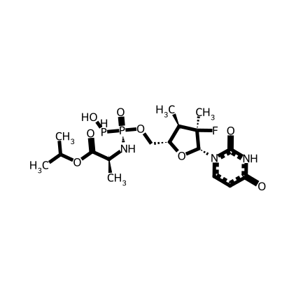 CC(C)OC(=O)[C@H](C)N[P@](=O)(OC[C@H]1O[C@@H](n2ccc(=O)[nH]c2=O)[C@](C)(F)[C@@H]1C)PO